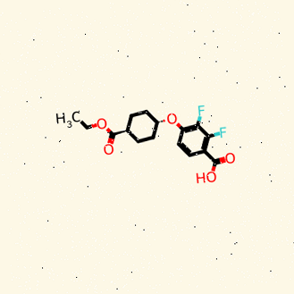 CCOC(=O)[C@H]1CC[C@H](Oc2ccc(C(=O)O)c(F)c2F)CC1